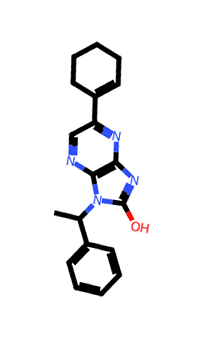 CC(c1ccccc1)n1c(O)nc2nc(C3=CCCCC3)cnc21